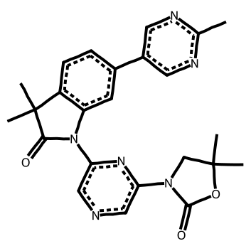 Cc1ncc(-c2ccc3c(c2)N(c2cncc(N4CC(C)(C)OC4=O)n2)C(=O)C3(C)C)cn1